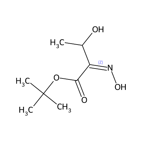 CC(O)/C(=N/O)C(=O)OC(C)(C)C